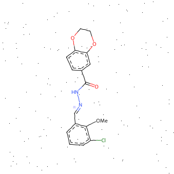 COc1c(Cl)cccc1/C=N/NC(=O)c1ccc2c(c1)OCCO2